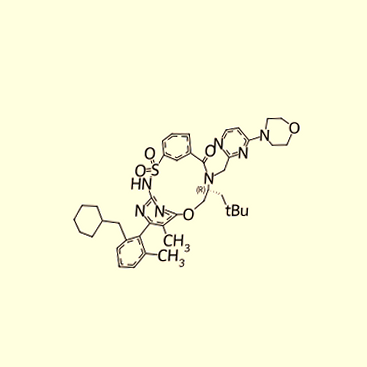 Cc1cccc(CC2CCCCC2)c1-c1nc2nc(c1C)OC[C@@H](CC(C)(C)C)N(Cc1nccc(N3CCOCC3)n1)C(=O)c1cccc(c1)S(=O)(=O)N2